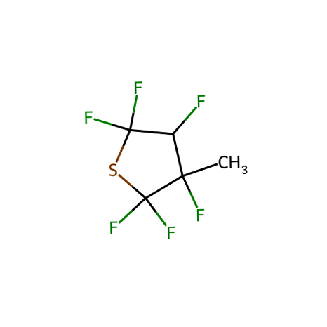 CC1(F)C(F)C(F)(F)SC1(F)F